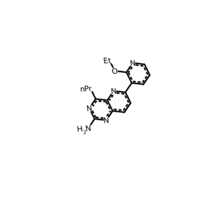 CCCc1nc(N)nc2ccc(-c3cccnc3OCC)nc12